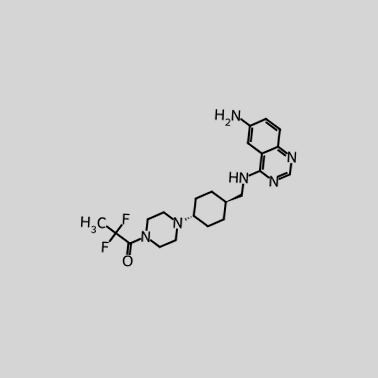 CC(F)(F)C(=O)N1CCN([C@H]2CC[C@H](CNc3ncnc4ccc(N)cc34)CC2)CC1